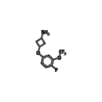 NC1CC(Oc2ccc(F)c(OC(F)(F)F)c2)C1